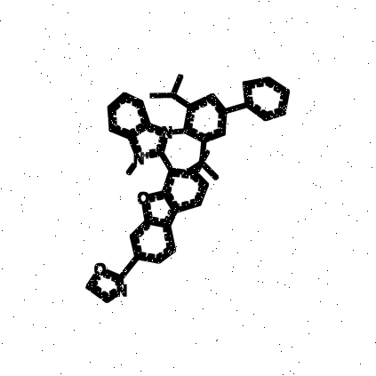 Cc1ccc2c(oc3cc(-c4ncco4)ccc32)c1-c1n(-c2c(C(C)C)cc(-c3ccccc3)cc2C(C)C)c2ccccc2[n+]1C